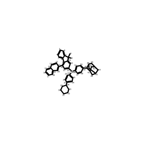 CC1(C)c2ccccc2-c2c(-c3ccc4ccccc4c3)cc(N(c3ccc(C4CCCCC4)cc3)c3ccc(C4C5CC6CC(C5)CC4C6)cc3)cc21